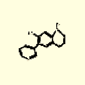 CC(C)N1CCCc2cc(-c3cccnc3)c(C#N)cc21